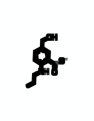 CCCNc1ccc(CO)cc1[N+](=O)[O-]